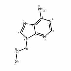 Nc1ncnc2c1ncn2COS